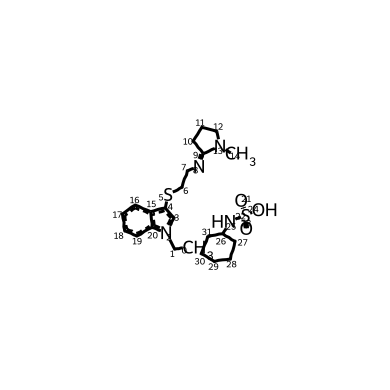 CCn1cc(SCCN=C2CCCN2C)c2ccccc21.O=S(=O)(O)NC1CCCCC1